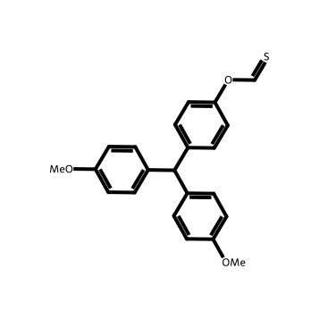 COc1ccc([C](c2ccc(OC)cc2)c2ccc(OC=S)cc2)cc1